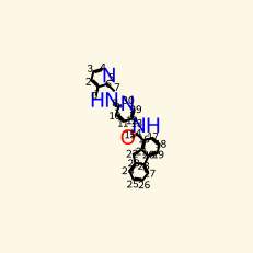 Cc1cccnc1CNc1ccc(NC(=O)c2cccc3c2Cc2ccccc2-3)cn1